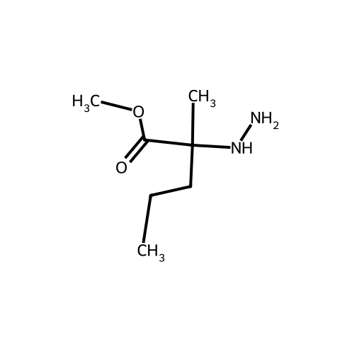 CCCC(C)(NN)C(=O)OC